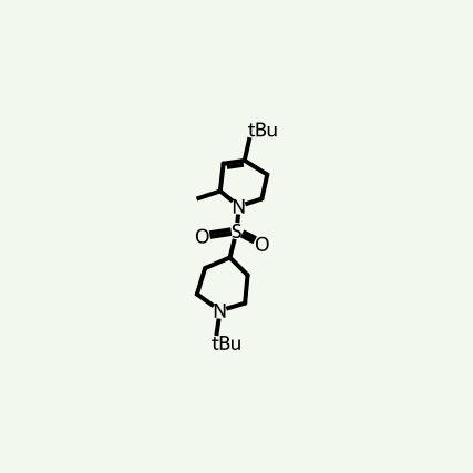 CC1C=C(C(C)(C)C)CCN1S(=O)(=O)C1CCN(C(C)(C)C)CC1